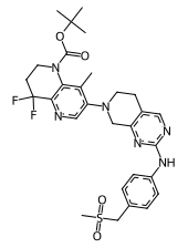 Cc1c(N2CCc3cnc(Nc4ccc(CS(C)(=O)=O)cc4)nc3C2)cnc2c1N(C(=O)OC(C)(C)C)CCC2(F)F